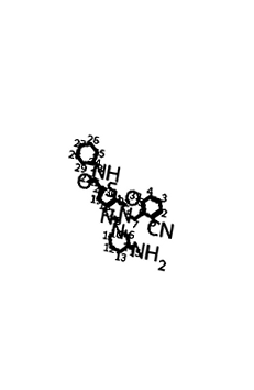 N#Cc1ccccc1Cn1c(N2CCCC(N)C2)nc2cc(C(=O)NC3CCCCC3)sc2c1=O